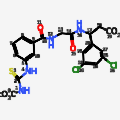 CCOC(=O)NC(=S)Nc1cccc(C(=O)NCC(=O)NC(CC(=O)O)c2cc(Cl)cc(Cl)c2)c1